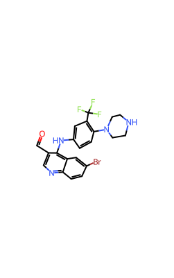 O=Cc1cnc2ccc(Br)cc2c1Nc1ccc(N2CCNCC2)c(C(F)(F)F)c1